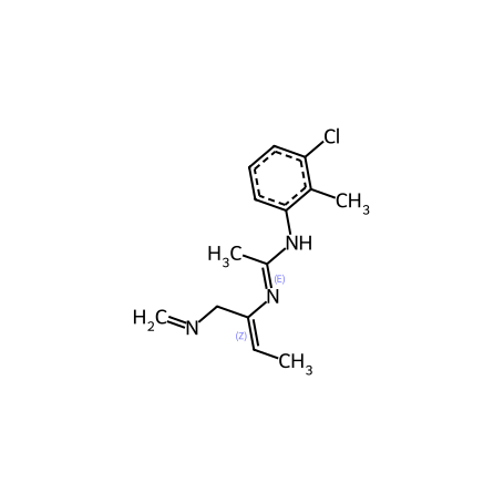 C=NCC(=C/C)/N=C(\C)Nc1cccc(Cl)c1C